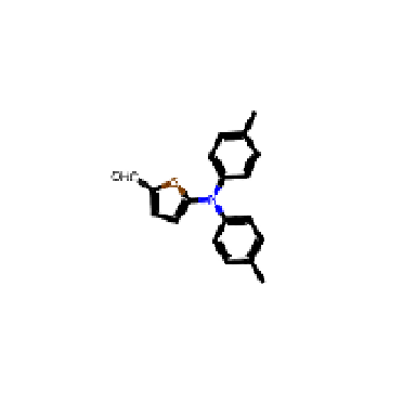 Cc1ccc(N(c2ccc(C)cc2)c2ccc(C=O)s2)cc1